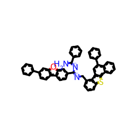 N/C(=N\C(=N/Cc1cccc2sc3c4ccccc4c(-c4ccccc4)cc3c12)c1ccc2c(c1)oc1cc(-c3ccccc3)ccc12)c1ccccc1